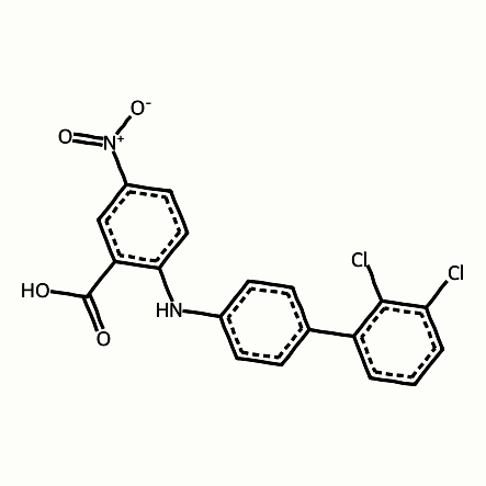 O=C(O)c1cc([N+](=O)[O-])ccc1Nc1ccc(-c2cccc(Cl)c2Cl)cc1